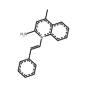 Cc1cc(N)[n+](C=Cc2ccccc2)c2ccccc12